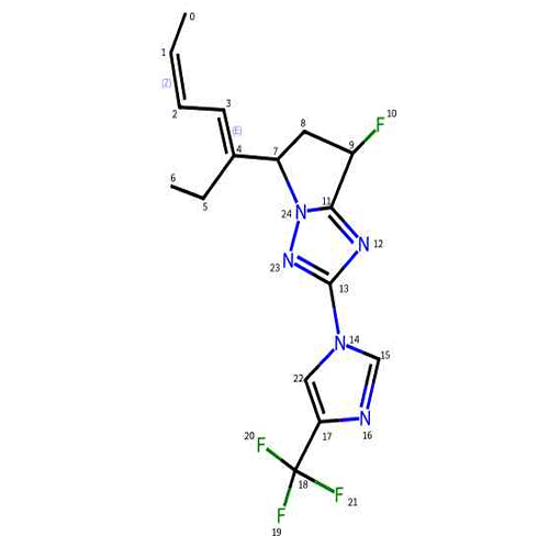 C/C=C\C=C(/CC)C1CC(F)c2nc(-n3cnc(C(F)(F)F)c3)nn21